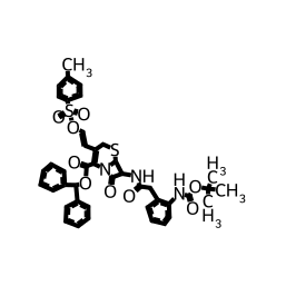 Cc1ccc(S(=O)(=O)O/C=C/C2=C(C(=O)OC(c3ccccc3)c3ccccc3)N3C(=O)C(NC(=O)Cc4ccccc4NC(=O)OC(C)(C)C)C3SC2)cc1